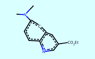 CCOC(=O)c1cnc2ccc(N(C)C)cc2c1